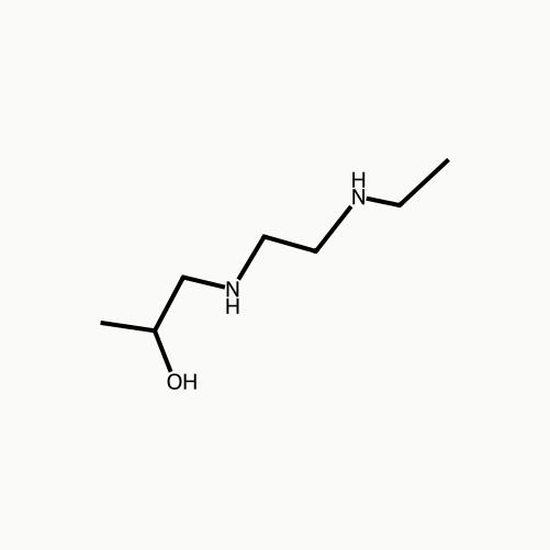 CCNCCNCC(C)O